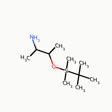 CC(N)C(C)O[Si](C)(C)C(C)(C)C